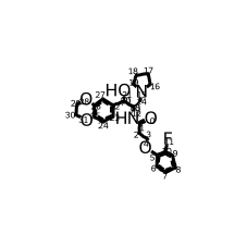 O=C(CCOc1ccccc1F)N[C@H](CN1CCCC1)[C@H](O)c1ccc2c(c1)OCCO2